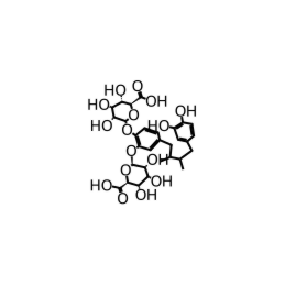 CC(Cc1ccc(O)c(O)c1)C(C)Cc1ccc(O[C@@H]2O[C@H](C(=O)O)[C@@H](O)[C@H](O)[C@H]2O)c(O[C@@H]2O[C@H](C(=O)O)[C@@H](O)[C@H](O)[C@H]2O)c1